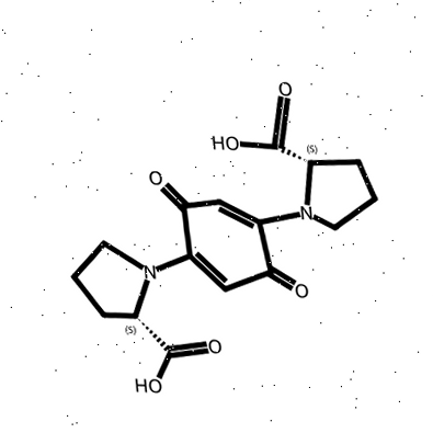 O=C1C=C(N2CCC[C@H]2C(=O)O)C(=O)C=C1N1CCC[C@H]1C(=O)O